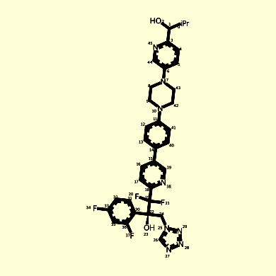 CC(C)C(O)c1ccc(N2CCN(c3ccc(-c4ccc(C(F)(F)[C@](O)(Cn5cnnn5)c5ccc(F)cc5F)nc4)cc3)CC2)cn1